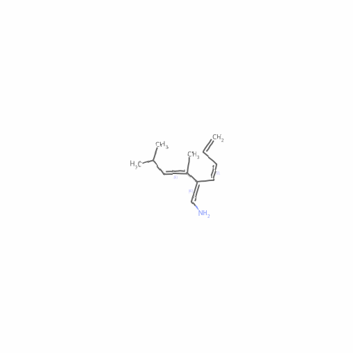 C=C\C=C/C(=C\N)C(/C)=C/C(C)C